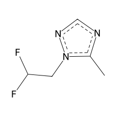 Cc1ncnn1CC(F)F